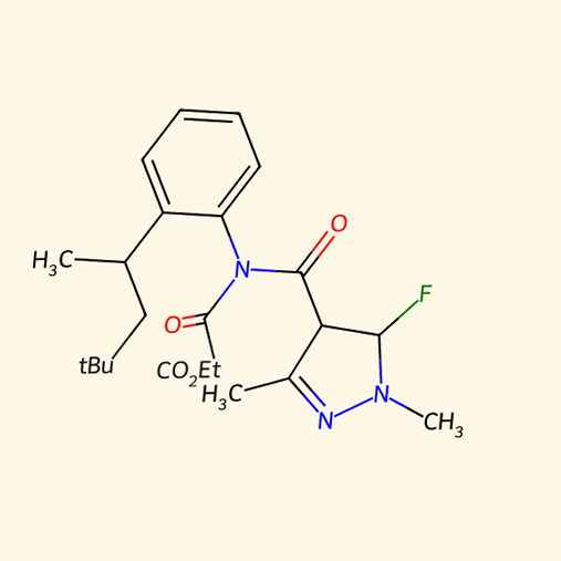 CCOC(=O)C(=O)N(C(=O)C1C(C)=NN(C)C1F)c1ccccc1C(C)CC(C)(C)C